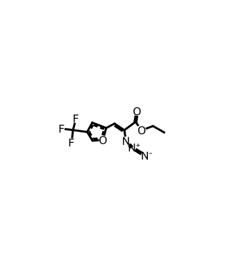 CCOC(=O)/C(=C/c1cc(C(F)(F)F)co1)N=[N+]=[N-]